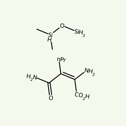 CCC/C(C(N)=O)=C(\N)C(=O)O.C[SiH](C)O[SiH3]